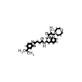 C=C(CN1CCCOCCC1)C(=O)NC[C@H](Cc1cccnc1)NC(=O)CCc1nc2ccc(C(C)C)cc2s1